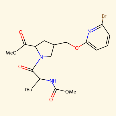 COC(=O)NC(C(=O)N1CC(COc2cccc(Br)n2)CC1C(=O)OC)C(C)(C)C